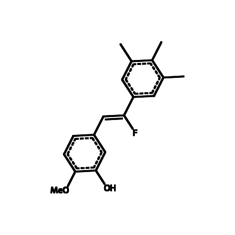 COc1ccc(C=C(F)c2cc(C)c(C)c(C)c2)cc1O